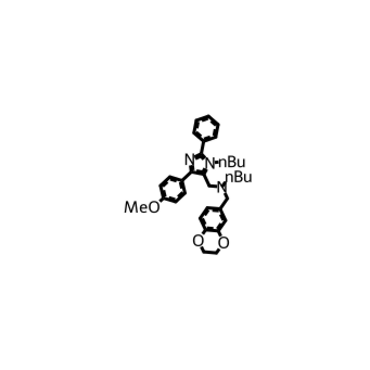 CCCCN(Cc1ccc2c(c1)OCCO2)Cc1c(-c2ccc(OC)cc2)nc(-c2ccccc2)n1CCCC